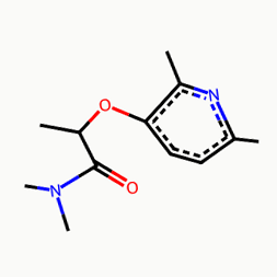 Cc1ccc(OC(C)C(=O)N(C)C)c(C)n1